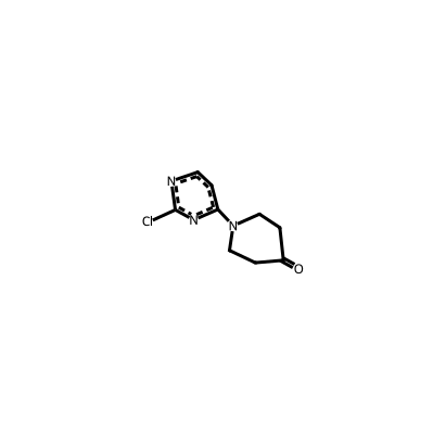 O=C1CCN(c2ccnc(Cl)n2)CC1